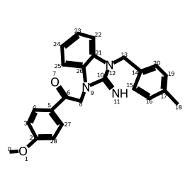 COc1ccc(C(=O)Cn2c(=N)n(Cc3ccc(C)cc3)c3ccccc32)cc1